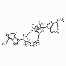 C=Nc1c(C(=O)NC)ncn1C1OC2COP(=O)(S)O[C@@H]3C(COP(=O)(S)[C@H]2[C@H]1O)OC(n1cnc2c(N)ncnc21)[C@@H]3O